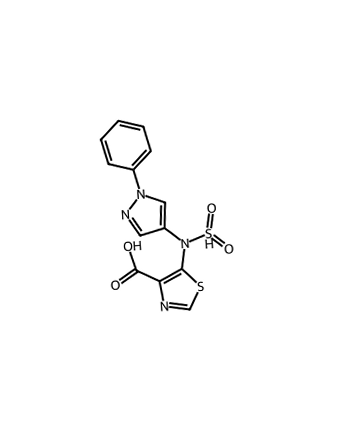 O=C(O)c1ncsc1N(c1cnn(-c2ccccc2)c1)[SH](=O)=O